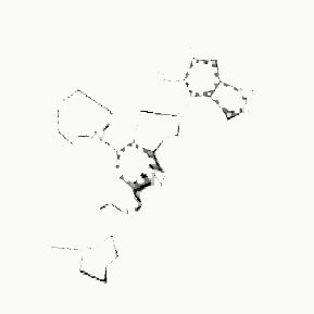 CN1CCC[C@H]1COc1nc2c(c(N3CCNCC3)n1)CN(c1c(Cl)c(F)cc3[nH]ncc13)C2